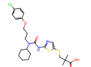 CC(C)(CSc1cnc(NC(=O)N(CCCOc2ccc(Cl)cc2)C2CCCCC2)s1)C(=O)O